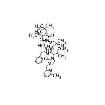 CCC(C)C(C(=O)NC(Cc1ccccc1)C(O)CN(CC(C)(C)C)NC(=O)N(CC(C)(C)C)C(=O)OC)N1CCN(Cc2cccc(C)n2)C1=O